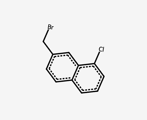 Clc1cccc2ccc(CBr)cc12